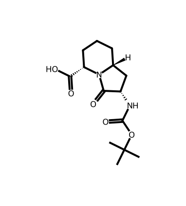 CC(C)(C)OC(=O)N[C@H]1C[C@H]2CCC[C@@H](C(=O)O)N2C1=O